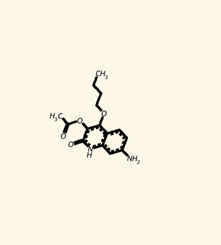 CCCCOc1c(OC(C)=O)c(=O)[nH]c2cc(N)ccc12